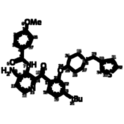 COc1ccc(C(=O)Nc2c(N)ccnc2C(=O)c2ccc(C(C)(C)C)cc2OC2CCN(Cc3ccsc3)CC2)cc1